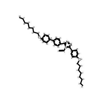 C=Cn1c(-c2ccc(OCCCCCCCC)cc2)nnc1-c1ccc(-c2ccc(OCCCCCCCC)cc2)cc1